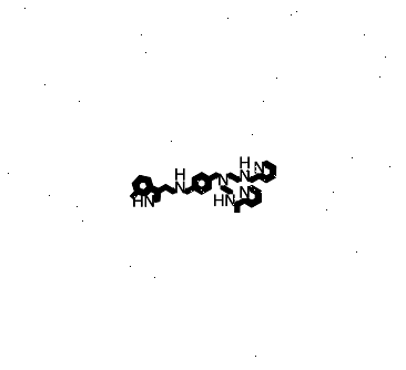 Cc1cccc2c(CCNCc3ccc(CN(CCNCc4ccccn4)CCNC(C)c4ccccn4)cc3)c[nH]c12